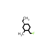 CC[C@H]1CCC(CF)C(C)C1